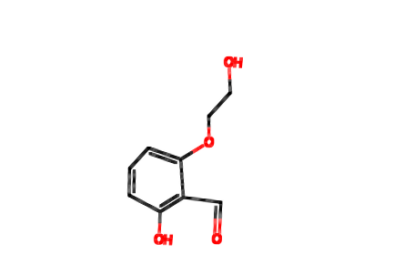 O=Cc1c(O)cccc1OCCO